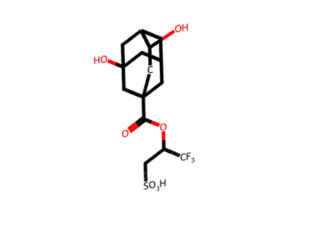 O=C(OC(CS(=O)(=O)O)C(F)(F)F)C12CC3CC(CC(O)(C3)C1)C(O)C2